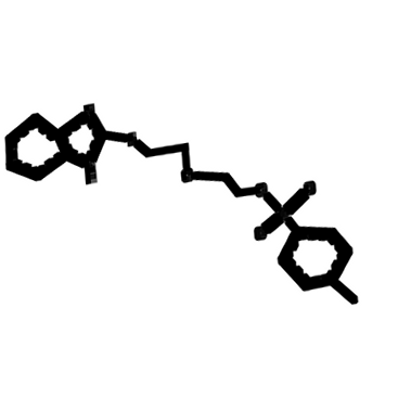 Cc1ccc(S(=O)(=O)OCCOCCSc2nc3ccccc3[nH]2)cc1